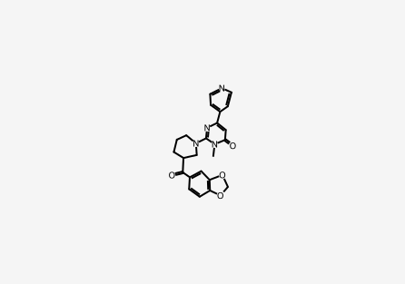 Cn1c(N2CCCC(C(=O)c3ccc4c(c3)OCO4)C2)nc(-c2ccncc2)cc1=O